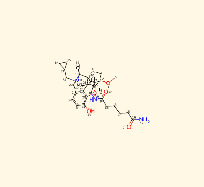 CO[C@]12CC[C@@]3(C[C@@H]1CNC(=O)CCCCC(N)=O)[C@H]1Cc4ccc(O)c5c4[C@@]3(CCN1CC1CC1)[C@H]2O5